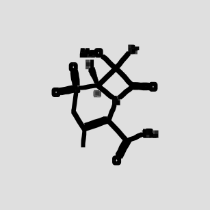 COC1(Br)C(=O)N2C(C(=O)C(C)(C)C)=C(C)CS(=O)(=O)[C@@H]21